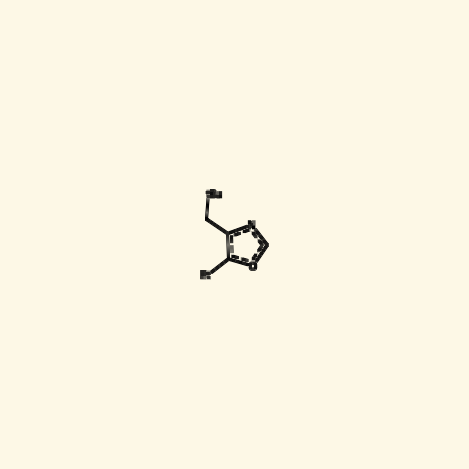 CCc1ocnc1CC(C)(C)C